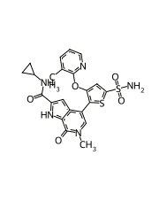 Cc1cccnc1Oc1cc(S(N)(=O)=O)sc1-c1cn(C)c(=O)c2[nH]c(C(=O)NC3CC3)cc12